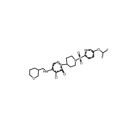 O=c1c(Cl)c(NCC2CCCOC2)cnn1C1CCN(S(=O)(=O)c2ccc(OC(F)F)cn2)CC1